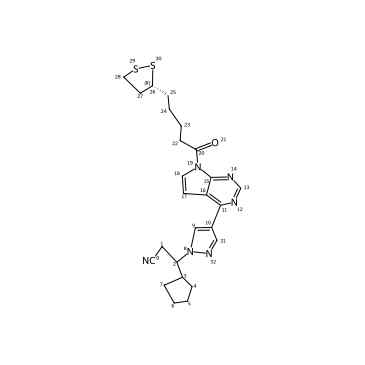 N#CCC(C1CCCC1)n1cc(-c2ncnc3c2ccn3C(=O)CCCC[C@@H]2CCSS2)cn1